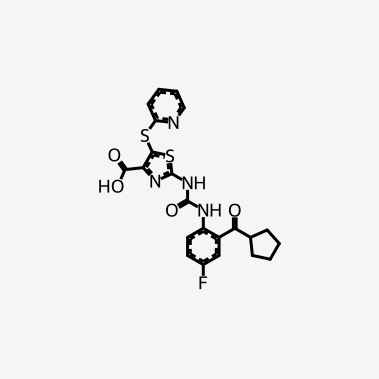 O=C(Nc1nc(C(=O)O)c(Sc2ccccn2)s1)Nc1ccc(F)cc1C(=O)C1CCCC1